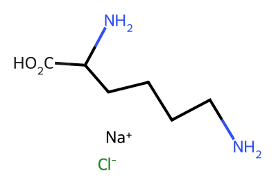 NCCCCC(N)C(=O)O.[Cl-].[Na+]